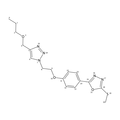 CCCOCc1cn(CCOc2ccc(-c3nnc(SC)o3)cc2)nn1